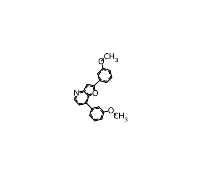 COc1cccc(-c2cc3nccc(-c4cccc(OC)c4)c3o2)c1